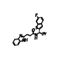 CC(C)C(NC(=O)CCc1nc2ccccc2[nH]1)c1cc2ccc(F)cc2s1